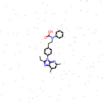 CCc1nc2c(C)cc(C)nc2n1-c1ccc(CCN(C(=O)O)c2ccccc2)cc1